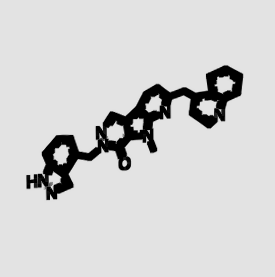 Cn1c2nc(Cc3ccnc4ccccc34)ccc2c2cnn(Cc3cccc4[nH]ncc34)c(=O)c21